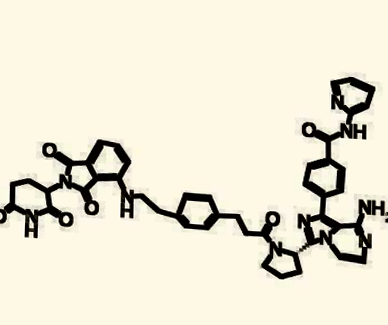 Nc1nccn2c([C@@H]3CCCN3C(=O)CCc3ccc(CCNc4cccc5c4C(=O)N(C4CCC(=O)NC4=O)C5=O)cc3)nc(-c3ccc(C(=O)Nc4ccccn4)cc3)c12